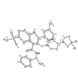 CC(NC(=O)c1c(CN2CCC(N3CCC(F)(F)C3)CC2)c(-c2cccc(C(F)(F)F)c2)nc2ccc(S(C)(=O)=O)cc12)c1ccccc1